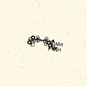 COc1c(N2CCNC(C)C2)c(F)cc2c(=O)c(C(=O)OCCCOC(=O)Cc3ccccc3Nc3c(Cl)cccc3Cl)cn(C3CC3)c12